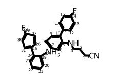 N#CCCCNc1ccccc1-c1ccc(F)cc1.Nc1ccccc1-c1ccc(F)cc1